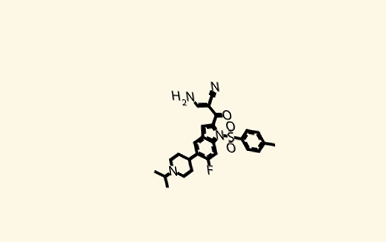 Cc1ccc(S(=O)(=O)n2c(C(=O)/C(C#N)=C/N)cc3cc(C4CCN(C(C)C)CC4)c(F)cc32)cc1